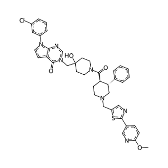 COc1ccc(-c2ncc(CN3CC[C@@H](C(=O)N4CCC(O)(Cn5cnc6c(ccn6-c6cccc(Cl)c6)c5=O)CC4)[C@H](c4ccccc4)C3)s2)cn1